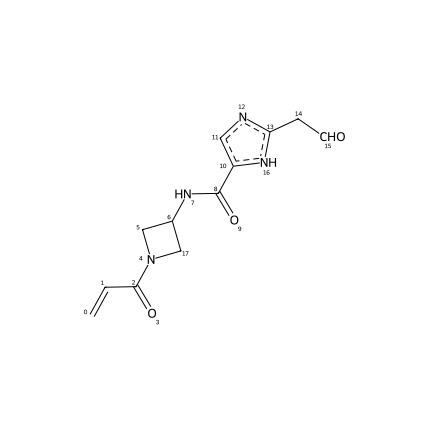 C=CC(=O)N1CC(NC(=O)c2cnc(CC=O)[nH]2)C1